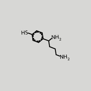 NCCCC(N)c1ccc(S)cc1